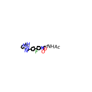 CC(=O)NC[C@H]1CN(c2ccc(-c3ccc(-c4cnc([C@@H]5CCCN5C(C)=O)[nH]4)cc3)c(F)c2)C(=O)O1